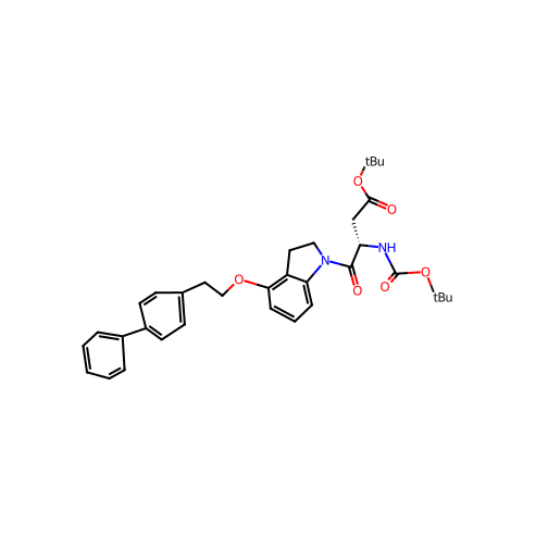 CC(C)(C)OC(=O)C[C@H](NC(=O)OC(C)(C)C)C(=O)N1CCc2c(OCCc3ccc(-c4ccccc4)cc3)cccc21